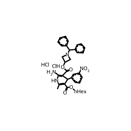 CCCCCCOC(=O)C1=C(C)NC(N)=C(C(=O)OC2CN(C(c3ccccc3)c3ccccc3)C2)C1c1cccc([N+](=O)[O-])c1.Cl.Cl